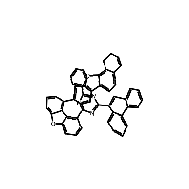 C1=Cc2ccc3c(oc4cc(-c5cccc6oc7cccc(-c8nc(-c9ccccc9)nc(-c9cc%10ccccc%10c%10ccccc9%10)n8)c7c56)ccc43)c2CC1